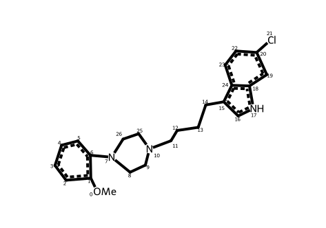 COc1ccccc1N1CCN(CCCCc2c[nH]c3cc(Cl)ccc23)CC1